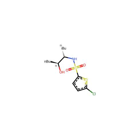 CCCC[C@H](O)C(NS(=O)(=O)c1ccc(Cl)s1)[C@@H](C)CC